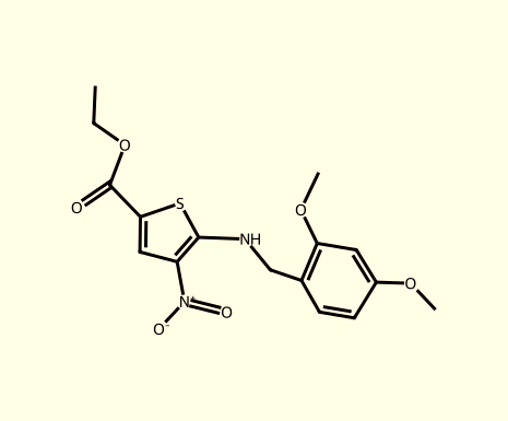 CCOC(=O)c1cc([N+](=O)[O-])c(NCc2ccc(OC)cc2OC)s1